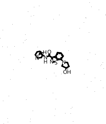 O=C(N[C@@H]1CN2CCC1CC2)c1nsc2c(N3CC[C@@H](O)C3)cccc12